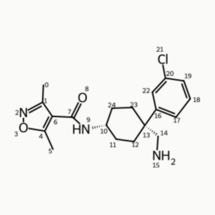 Cc1noc(C)c1C(=O)N[C@H]1CC[C@](CN)(c2cccc(Cl)c2)CC1